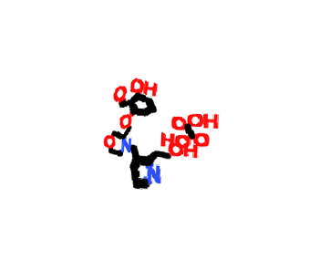 O=C(O)C(=O)O.O=Cc1c(O)cccc1OC[C@@H]1COCCN1Cc1cccnc1CCO